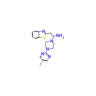 NC(Cc1nc2ccccc2s1)N1CCN(c2ncc(F)cn2)CC1